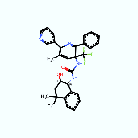 CC1=CC(NC(=O)N[C@@H]2c3ccccc3C(C)(C)C[C@H]2O)(C(F)(F)F)C(c2ccccc2)=NC1c1cccnc1